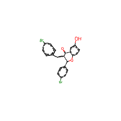 O=C1C(=Cc2ccc(Br)cc2)C(c2ccc(Br)cc2)Oc2ccc(O)cc21